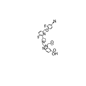 N#Cc1ccc(OCc2ccc(F)c(C3CCN(Cc4nc5ccc(C(=O)O)cc5n4CC4CCO4)C3)n2)c(F)c1